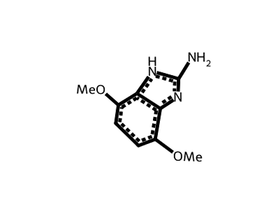 COc1ccc(OC)c2[nH]c(N)nc12